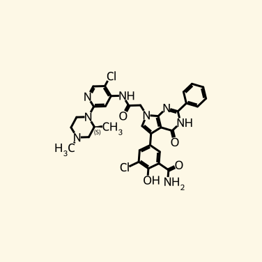 C[C@H]1CN(C)CCN1c1cc(NC(=O)Cn2cc(-c3cc(Cl)c(O)c(C(N)=O)c3)c3c(=O)[nH]c(-c4ccccc4)nc32)c(Cl)cn1